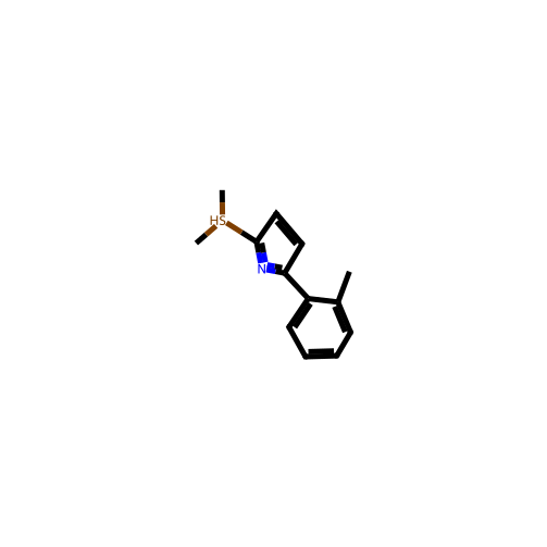 Cc1ccccc1C1=[N+]=C([SH](C)C)C=C1